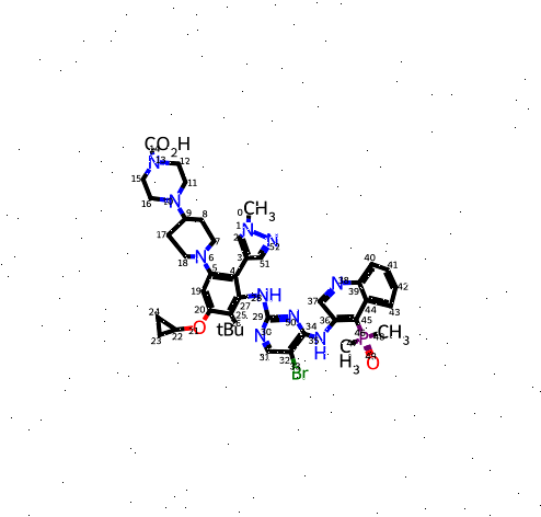 Cn1cc(-c2c(N3CCC(N4CCN(C(=O)O)CC4)CC3)cc(OC3CC3)c(C(C)(C)C)c2Nc2ncc(Br)c(Nc3cnc4ccccc4c3P(C)(C)=O)n2)cn1